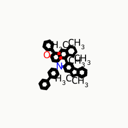 CC1(C)CCC(C)(C)c2c(-c3cc4c(cc3N(c3ccc(-c5ccccc5)cc3)c3ccc5c(c3)oc3ccccc35)C(C)(C)c3ccccc3-4)cccc21